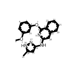 COc1cccc(Oc2nc(Nc3cc(C)[nH]n3)cc3ccccc23)c1